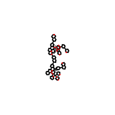 c1ccc(-c2cccc(-c3ccc(N(c4cc(-c5ccc6ccccc6c5)ccc4-c4ccc5ccc(-c6ccc7ccc(-c8ccc(-c9ccc%10ccccc%10c9)c(N(c9ccc(-c%10cccc%11ccccc%10%11)cc9)c9ccc%10c(c9)C(c9ccccc9)(c9ccccc9)c9ccccc9-%10)c8)cc7c6)cc5c4)c4ccccc4-n4c5ccccc5c5ccccc54)cc3)c2)cc1